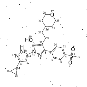 CS(=O)(=O)c1ccc(-c2nn(-c3cc(C4CC4)n[nH]3)c(O)c2CCC2CCOCC2)cc1